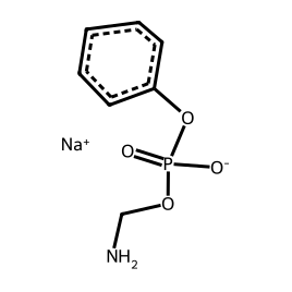 NCOP(=O)([O-])Oc1ccccc1.[Na+]